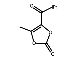 Cc1oc(=O)oc1C(=O)C(C)C